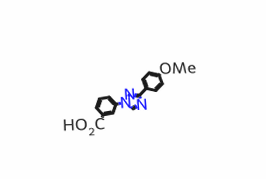 COc1ccc(-c2ncn(-c3cccc(C(=O)O)c3)n2)cc1